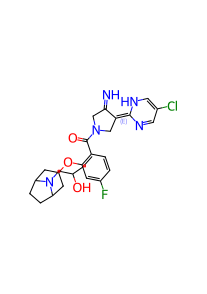 CC(O)CN1C2CCC1CC(Oc1cc(F)ccc1C(=O)N1CC(=N)/C(=C3/N=CC(Cl)=CN3)C1)C2